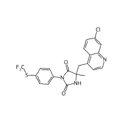 CC1(Cc2ccnc3cc(Cl)ccc23)NC(=O)N(c2ccc(SC(F)(F)F)cc2)C1=O